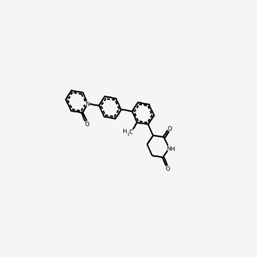 Cc1c(-c2ccc(-n3ccccc3=O)cc2)cccc1C1CCC(=O)NC1=O